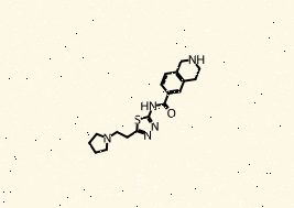 O=C(Nc1nnc(CCN2CCCC2)s1)c1ccc2c(c1)CCNC2